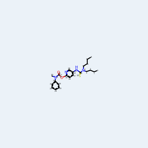 CCCCN(CCCC)C(=S)Nc1ccc(OC(=O)N(C)c2ccccc2)nc1